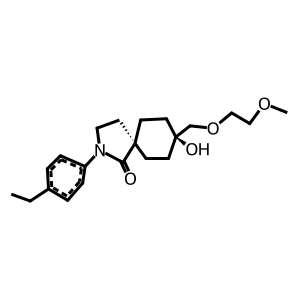 CCc1ccc(N2CC[C@]3(CC[C@@](O)(COCCOC)CC3)C2=O)cc1